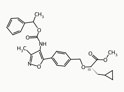 COC(=O)[C@H](CC1CC1)OCc1ccc(-c2onc(C)c2NC(=O)OC(C)c2ccccc2)cc1